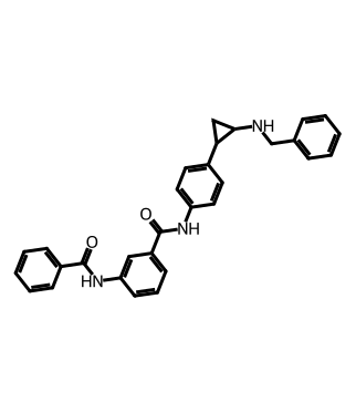 O=C(Nc1cccc(C(=O)Nc2ccc(C3CC3NCc3ccccc3)cc2)c1)c1ccccc1